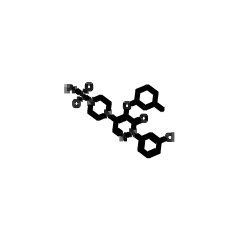 CC1CCCC(Oc2c(N3CCN(S(=O)(=O)C(C)C)CC3)cnn(-c3cccc(Cl)c3)c2=O)C1